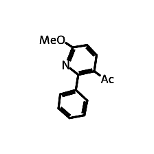 COc1ccc(C(C)=O)c(-c2ccccc2)n1